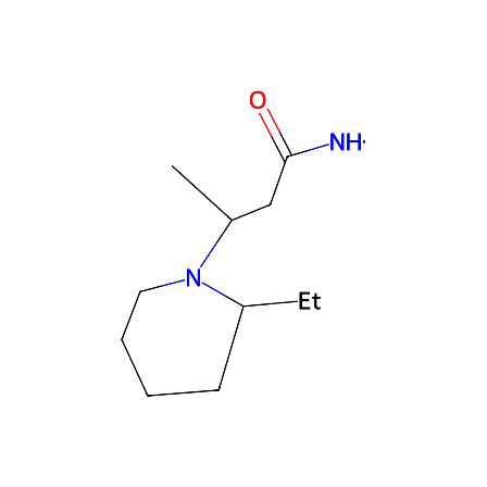 CCC1CCCCN1C(C)CC([NH])=O